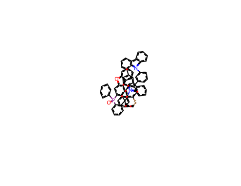 O=P1(c2ccccc2)c2ccccc2C2(c3ccccc3Sc3cc(-c4cccc(-n5c6ccccc6c6cccc(-c7ccc8c(c7)c7ccccc7n8-c7ccccc7)c65)c4)ccc32)c2cc3c(cc21)oc1ccccc13